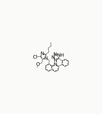 CCCCc1nc(Cl)c(COC)n1Cc1cccc2ccc(-c3ccccc3-c3nnn[nH]3)nc12